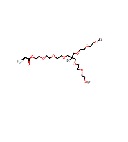 [CH2]COCCOCCOCC(CC)(COCCOCCOC[CH2])COCCOCCOCCOC(=O)C=C